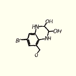 [O]Cc1cc(Br)cc2c1NC(O)C(O)N2